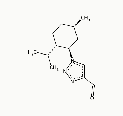 CC(C)[C@@H]1CC[C@@H](C)C[C@H]1n1cc(C=O)nn1